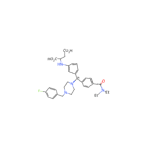 CCN(CC)C(=O)c1ccc([C@H](c2cccc(NC(CC(=O)O)C(=O)O)c2)N2CCN(Cc3ccc(F)cc3)CC2)cc1